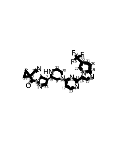 N#CC1(C(=O)N2CC([C@@H]3CN(c4ccnc(-c5cnc6ccc(C(F)(F)F)cn56)n4)CCN3)C=N2)CC1